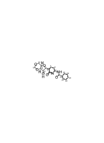 O=C(Nc1ccn([C@@H]2O[C@@H]3COCO[C@@H]3C2O)c(=O)n1)c1ccccc1